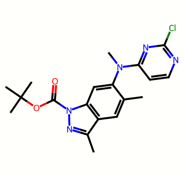 Cc1cc2c(C)nn(C(=O)OC(C)(C)C)c2cc1N(C)c1ccnc(Cl)n1